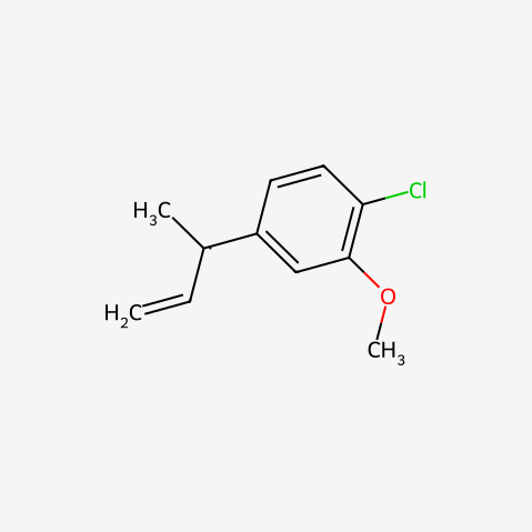 C=C[C](C)c1ccc(Cl)c(OC)c1